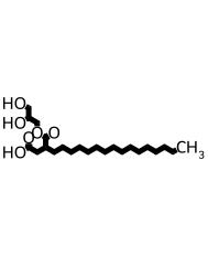 CCCCCCCCCCCCCCCCC(CC(=O)O)C(=O)OCC(O)CO